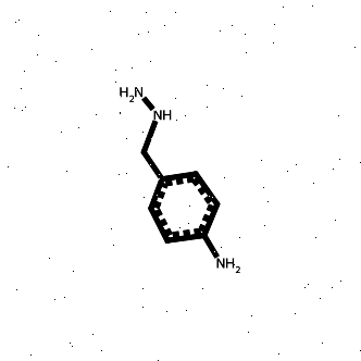 NNCc1ccc(N)cc1